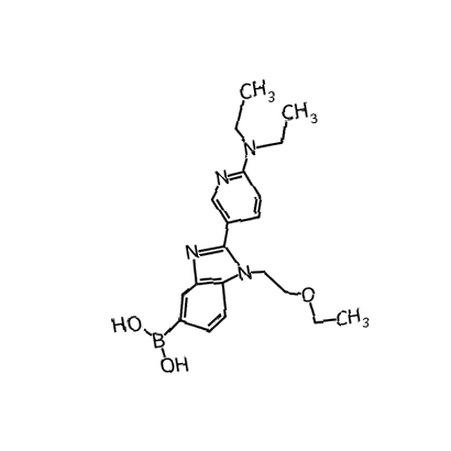 CCOCCn1c(-c2ccc(N(CC)CC)nc2)nc2cc(B(O)O)ccc21